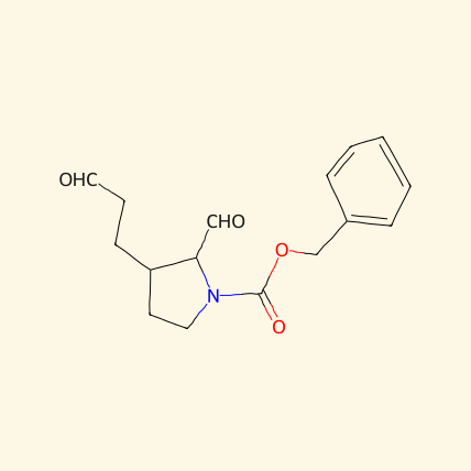 O=CCCC1CCN(C(=O)OCc2ccccc2)C1C=O